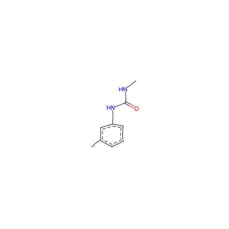 CNC(=O)Nc1cccc(C)c1